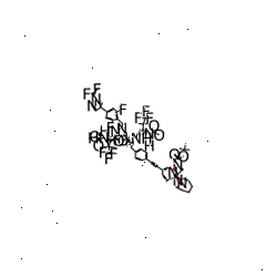 COC(=O)N[C@H](C(=O)NN(Cc1c(F)cc(-c2cnn(C(F)F)c2)cc1F)C[C@H](O)[C@H](Cc1ccc(C#Cc2ccc(N3CC4CCC(C3)N4CC3CN(C(=O)OC(C)(C)C)C3)nc2)cc1)NC[C@@H](NC(=O)OC)C(C)(C)C(F)(F)F)C(C)(C)C(F)(F)F